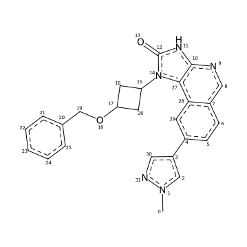 Cn1cc(-c2ccc3cnc4[nH]c(=O)n(C5CC(OCc6ccccc6)C5)c4c3c2)cn1